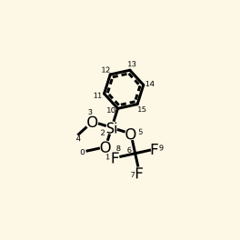 CO[Si](OC)(OC(F)(F)F)c1ccccc1